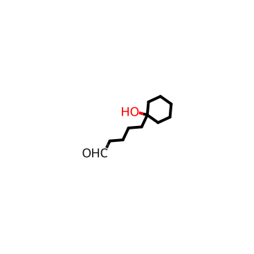 O=CCCCCC1(O)CCCCC1